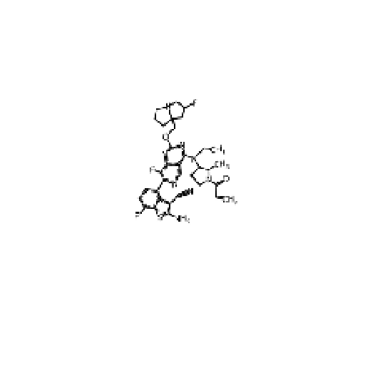 C=CC(=O)N1CCC(N(CC)c2nc(OCC34CCCN3CC(F)C4)nc3c(F)c(-c4ccc(F)c5sc(N)c(C#N)c45)ncc23)C1C